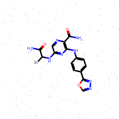 CCC(Nc1cnc(C(N)=O)c(Nc2ccc(-c3nnco3)cc2)n1)C(N)=O